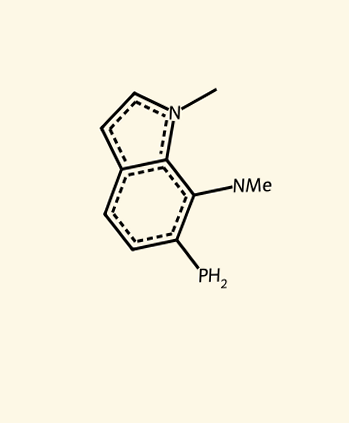 CNc1c(P)ccc2ccn(C)c12